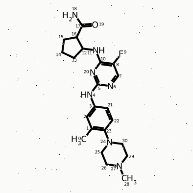 Cc1cc(Nc2ncc(F)c(NC3CCCC3C(N)=O)n2)ccc1N1CCN(C)CC1